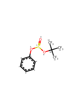 O=S(Oc1ccccc1)OC(C(F)(F)F)(C(F)(F)F)C(F)(F)F